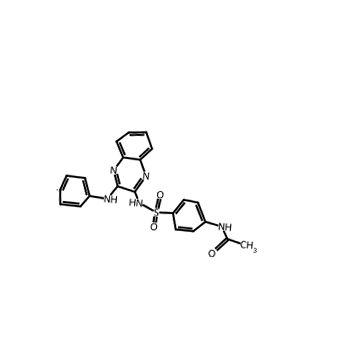 CC(=O)Nc1ccc(S(=O)(=O)Nc2nc3ccccc3nc2Nc2cc[c]cc2)cc1